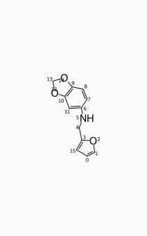 c1coc(CNc2ccc3c(c2)OCO3)c1